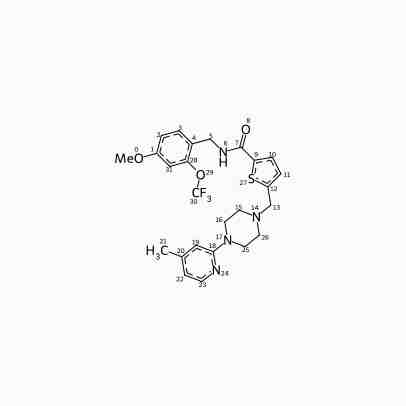 COc1ccc(CNC(=O)c2ccc(CN3CCN(c4cc(C)ccn4)CC3)s2)c(OC(F)(F)F)c1